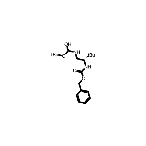 CC(C)(C)OC(O)NC[C@@H](NC(=O)OCc1ccccc1)C(C)(C)C